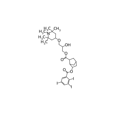 CN1C(C)(C)CC(OCC(O)COC(=O)C2CC3CC(OC(=O)c4cc(I)cc(I)c4I)C2C3)CC1(C)C